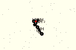 N=C(N)NC(=O)Cn1c(-c2ccccc2)ccc1-c1ccc(NC(=O)COc2ccccc2)cc1